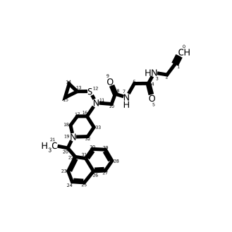 C#CCNC(=O)CNC(=O)CN(SC1CC1)C1CCN(C(C)c2cccc3ccccc23)CC1